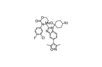 [2H]C1CCC(OC)(n2c(C3CCOC(=O)N3c3ccc(F)c(Cl)c3)nc3cc(-c4c(C)noc4C)ccc32)CC1